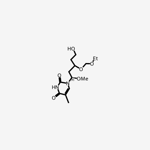 CCOCOC(CCO)C[C@@H](OC)n1cc(C)c(=O)[nH]c1=O